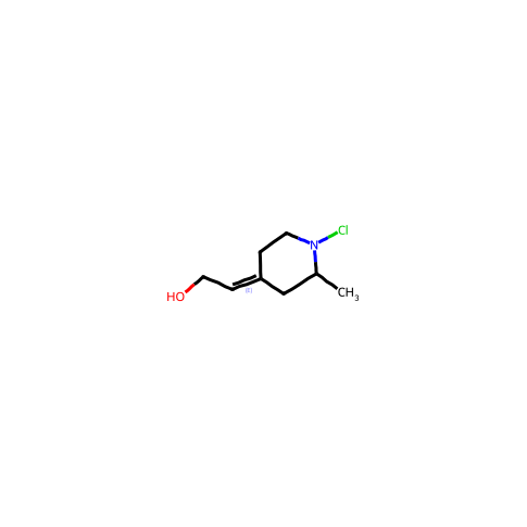 CC1C/C(=C/CO)CCN1Cl